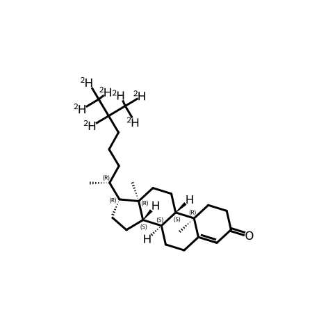 [2H]C([2H])([2H])C([2H])(CCC[C@@H](C)[C@H]1CC[C@H]2[C@@H]3CCC4=CC(=O)CC[C@]4(C)[C@H]3CC[C@]12C)C([2H])([2H])[2H]